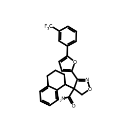 NC(=O)C1(C2CCCc3ccccc32)CON=C1c1ccc(-c2cccc(C(F)(F)F)c2)o1